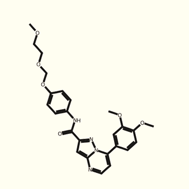 COCCOCOc1ccc(NC(=O)c2cc3nccc(-c4ccc(OC)c(OC)c4)n3n2)cc1